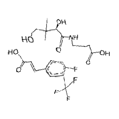 CC(C)(CO)[C@@H](O)C(=O)NCCC(=O)O.O=C(O)/C=C/c1ccc(F)c(C(F)(F)F)c1